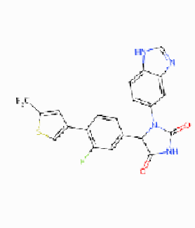 O=C1NC(=O)N(c2ccc3[nH]cnc3c2)C1c1ccc(-c2csc(C(F)(F)F)c2)c(F)c1